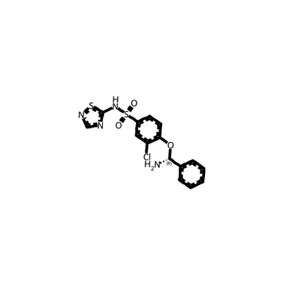 N[C@H](Oc1ccc(S(=O)(=O)Nc2ncns2)cc1Cl)c1ccccc1